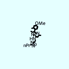 CCCc1noc(CNc2cc(C)nc3c(-c4ccc(OC)cc4C)c(C)nn23)n1